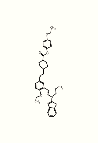 CCCN(/N=C/c1cc(OCC2CCC(C(=O)Oc3ccc(OCC)cc3)CC2)ccc1OCC)c1nc2ccccc2s1